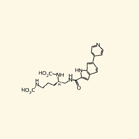 O=C(O)NCCC[C@H](CNC(=O)c1cc2ccc(-c3ccncc3)cc2[nH]1)NC(=O)O